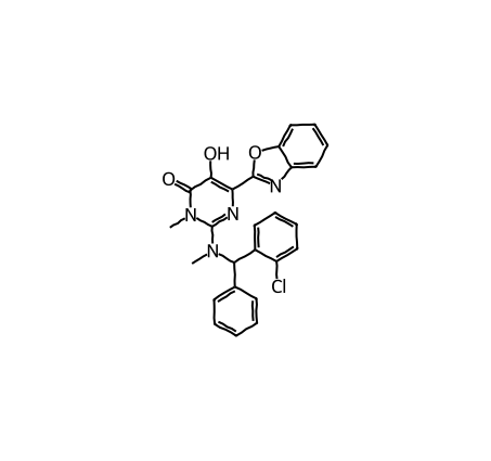 CN(c1nc(-c2nc3ccccc3o2)c(O)c(=O)n1C)C(c1ccccc1)c1ccccc1Cl